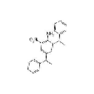 CC(c1ccccc1)c1cc(C(C)c2ccccc2)c(N)c([N+](=O)[O-])c1